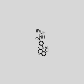 Cc1cnc2cccc(Cl)c2c1Nc1ccc(C(=O)NCNC(C)C)cc1